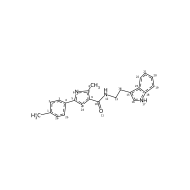 Cc1ccc(-c2nc(C)c(C(=O)NCCc3c[nH]c4ccccc34)s2)cc1